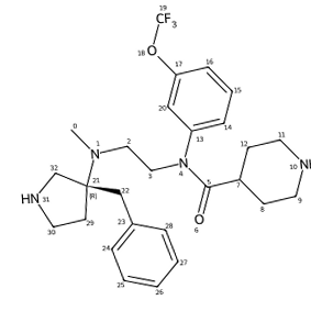 CN(CCN(C(=O)C1CCNCC1)c1cccc(OC(F)(F)F)c1)[C@]1(Cc2ccccc2)CCNC1